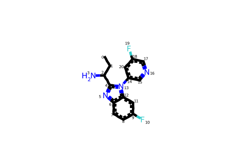 CCC(N)c1nc2ccc(F)cc2n1-c1cncc(F)c1